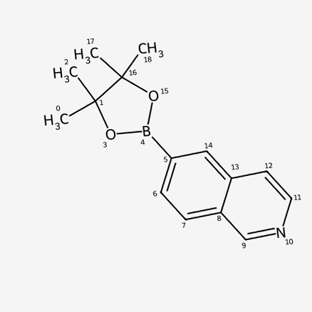 CC1(C)OB(c2ccc3cnccc3c2)OC1(C)C